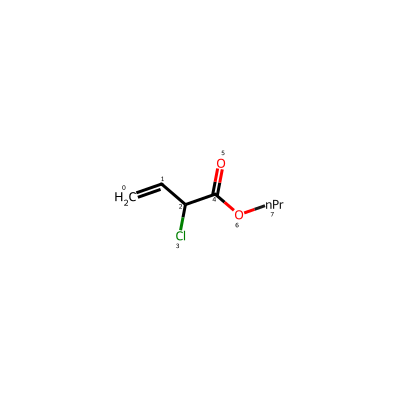 C=CC(Cl)C(=O)OCCC